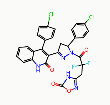 O=C(N1N=C(c2c(-c3ccc(Cl)cc3)c3ccccc3[nH]c2=O)CC1c1ccc(Cl)cc1)C(F)(F)Cc1noc(=O)[nH]1